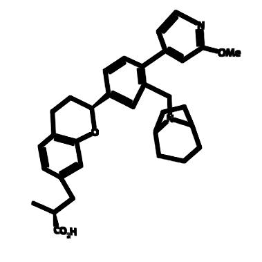 COc1cc(-c2ccc([C@@H]3CCc4ccc(C[C@H](C)C(=O)O)cc4O3)cc2CN2C3CCCC2CC3)ccn1